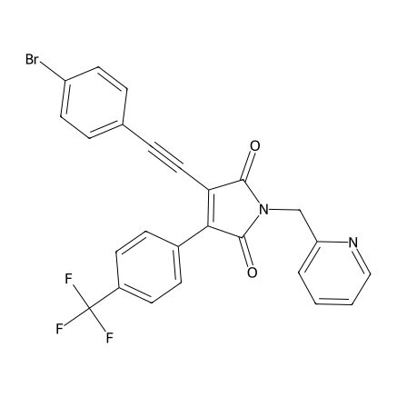 O=C1C(C#Cc2ccc(Br)cc2)=C(c2ccc(C(F)(F)F)cc2)C(=O)N1Cc1ccccn1